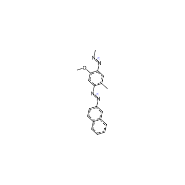 C/N=N/c1cc(C)c(/N=N/c2ccc3ccccc3c2)cc1OC